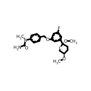 CO[C@H]1CC[C@@](OC)(c2cc(F)cc(OCc3ccc(N(C)C(N)=O)cc3)c2)CC1